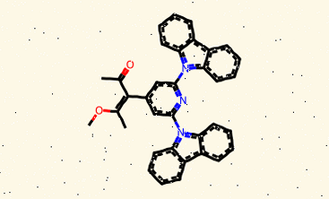 CO/C(C)=C(\C(C)=O)c1cc(-n2c3ccccc3c3ccccc32)nc(-n2c3ccccc3c3ccccc32)c1